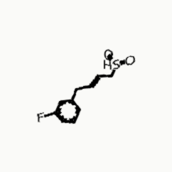 O=[SH](=O)C/C=C/Cc1cccc(F)c1